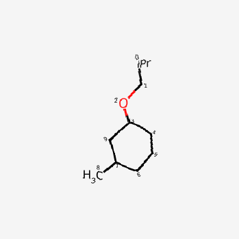 CC(C)COC1CCCC(C)C1